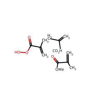 C=C(C)C(=O)O.C=C(C)C(=O)OC.C=C(C)C(=O)OO